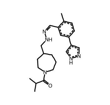 Cc1ccc(-c2cn[nH]c2)cc1/C=N\NCC1CCCN(C(=O)C(C)C)CC1